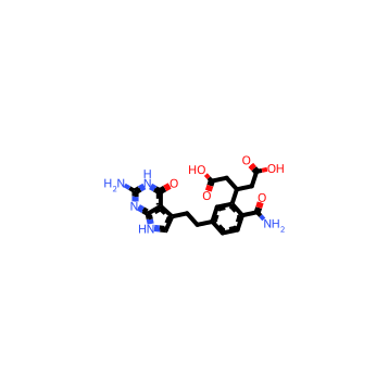 NC(=O)c1ccc(CCc2c[nH]c3nc(N)[nH]c(=O)c23)cc1C(CC(=O)O)CC(=O)O